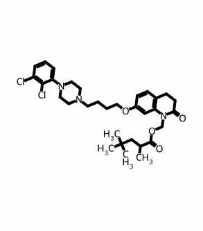 CC(CC(C)(C)C)C(=O)OCN1C(=O)CCc2ccc(OCCCCN3CCN(c4cccc(Cl)c4Cl)CC3)cc21